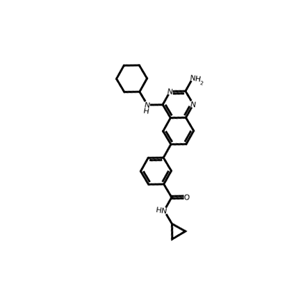 Nc1nc(NC2CCCCC2)c2cc(-c3cccc(C(=O)NC4CC4)c3)ccc2n1